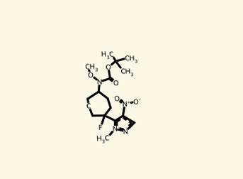 CON(C(=O)OC(C)(C)C)C1CCCC(F)(c2c([N+](=O)[O-])cnn2C)CC1